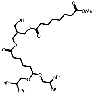 CCCC(CCC)COC(CCCCC(=O)OCC(CO)COC(=O)CCCCCCC(=O)OC)OCC(CCC)CCC